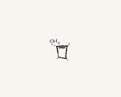 C.C1=CCC1